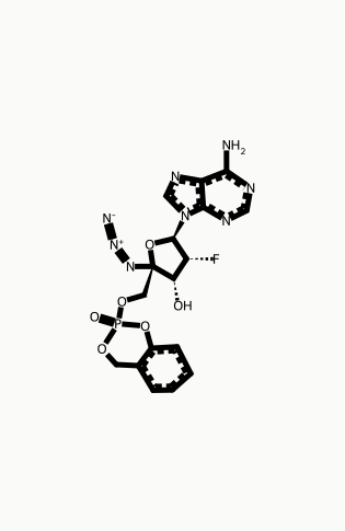 [N-]=[N+]=N[C@]1(COP2(=O)OCc3ccccc3O2)O[C@@H](n2cnc3c(N)ncnc32)[C@H](F)[C@@H]1O